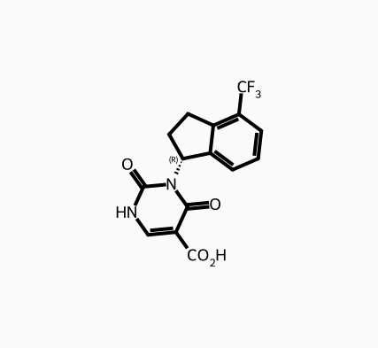 O=C(O)c1c[nH]c(=O)n([C@@H]2CCc3c2cccc3C(F)(F)F)c1=O